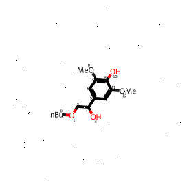 CCCCOCC(O)c1cc(OC)c(O)c(OC)c1